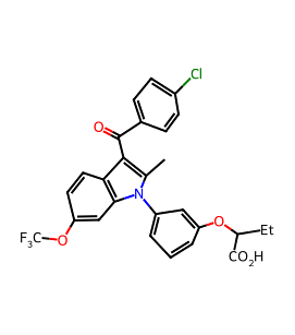 CCC(Oc1cccc(-n2c(C)c(C(=O)c3ccc(Cl)cc3)c3ccc(OC(F)(F)F)cc32)c1)C(=O)O